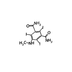 CNc1c(I)c(C(N)=O)c(I)c(C(N)=O)c1I